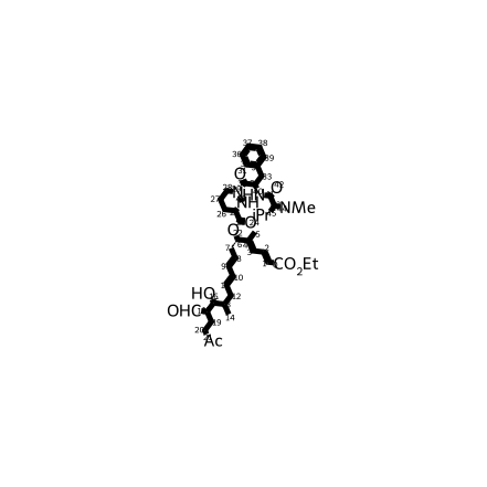 CCOC(=O)/C=C/C=C(\C)[C@H](C/C=C/C=C/CC(C)C(O)C(C=O)CCC(C)=O)OC(=O)C1CCCN(C(=O)C(Cc2ccccc2)NC(=O)C(NC)C(C)C)N1